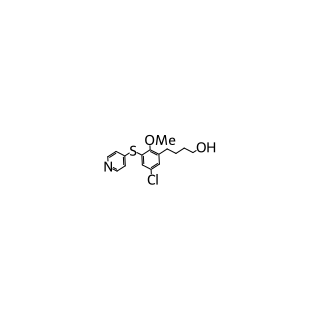 COc1c(CCCCO)cc(Cl)cc1Sc1ccncc1